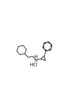 Cl.c1ccc(C2CC2NCCC2CCCCC2)cc1